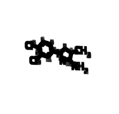 CC1CN(c2ccc(Cl)c(Cl)c2)N=C1N